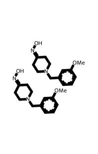 COc1cccc(CN2CCC(=NO)CC2)c1.COc1cccc(CN2CCC(=NO)CC2)c1